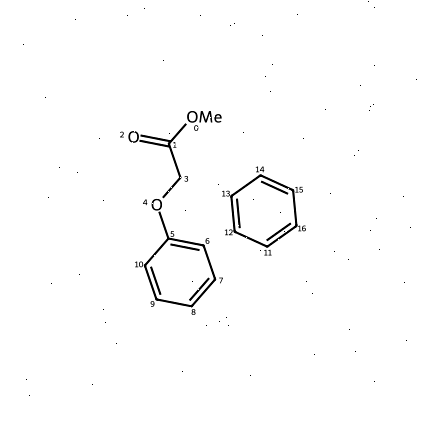 COC(=O)COc1ccccc1.c1ccccc1